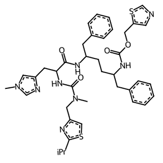 CC(C)c1nc(CN(C)C(=O)NC(Cc2cn(C)cn2)C(=O)NC(CCC(Cc2ccccc2)NC(=O)OCc2cncs2)Cc2ccccc2)cs1